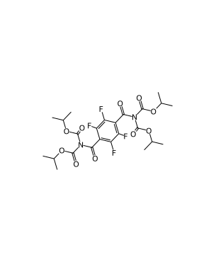 CC(C)OC(=O)N(C(=O)OC(C)C)C(=O)c1c(F)c(F)c(C(=O)N(C(=O)OC(C)C)C(=O)OC(C)C)c(F)c1F